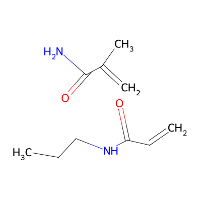 C=C(C)C(N)=O.C=CC(=O)NCCC